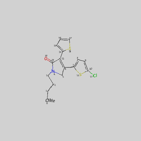 COCCCN1CC(c2ccc(Cl)s2)=C(c2cccs2)C1=O